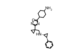 NC1CCC(c2nc(C3(CN[C@@H]4C[C@H]4c4ccccc4)CC3)no2)CC1